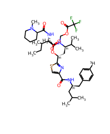 [3H]c1ccc(C[C@@H](CC(C)C)NC(=O)c2csc([C@@H](C[C@H](C(C)C)N(COC(=O)C(F)(F)F)C(=O)[C@@H](NC(=O)C3CCCCN3C)C(C)CC)OC(C)=O)n2)cc1